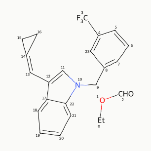 CCOC=O.FC(F)(F)c1cccc(Cn2cc(C=C3CC3)c3ccccc32)c1